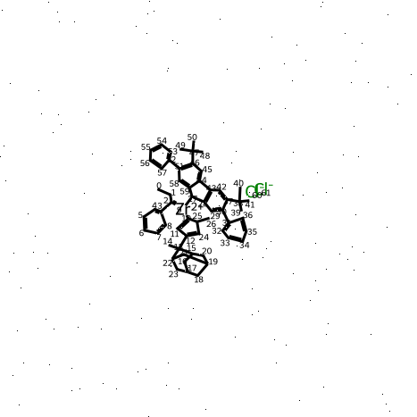 CC/[C](c1ccccc1)=[Zr+2](/[C]1=CC(C2(C)C3CC4CC(C3)CC2C4)=CC1C)[CH]1c2cc(-c3ccccc3)c(C(C)(C)C)cc2-c2cc(C(C)(C)C)c(-c3ccccc3)cc21.[Cl-].[Cl-]